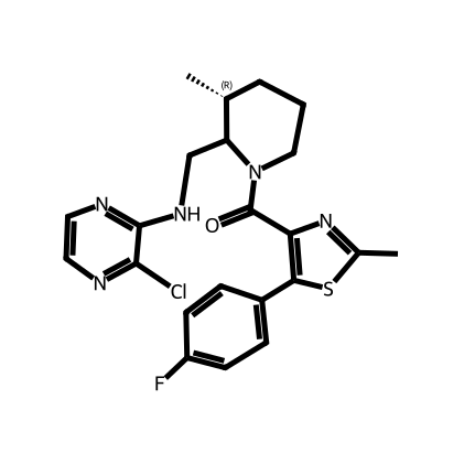 Cc1nc(C(=O)N2CCC[C@@H](C)C2CNc2nccnc2Cl)c(-c2ccc(F)cc2)s1